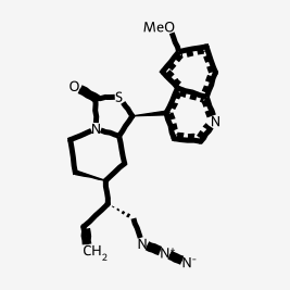 C=C[C@@H](CN=[N+]=[N-])[C@H]1CCN2C(=O)S[C@@H](c3ccnc4ccc(OC)cc34)C2C1